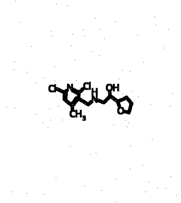 Cc1cc(Cl)nc(Cl)c1CNCC(O)C1CCCO1